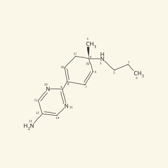 CCCN[C@]1(C)C=CC(c2ncc(N)cn2)=CC1